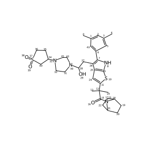 Cc1cc(C)cc(-c2[nH]c3sc(C(C)(C)C(=O)N4C5CCC4CC5)cc3c2CC(O)N2CCN(C3CCS(=O)(=O)C3)CC2)c1